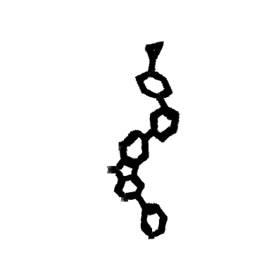 c1cncc(-c2cc3c(cn2)[nH]c2ncc(-c4cccc(N5CCN(C6CC6)CC5)c4)cc23)c1